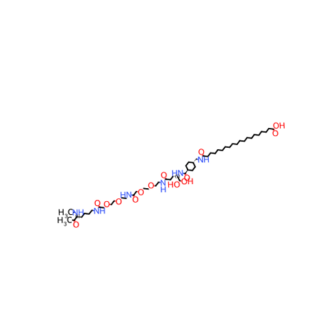 CN[C@@H](CCCCNC(=O)COCCOCCNC(=O)COCCOCCNC(=O)CC[C@H](NC(=O)[C@H]1CC[C@H](CNC(=O)CCCCCCCCCCCCCCCCCCC(=O)O)CC1)C(O)O)C(C)=O